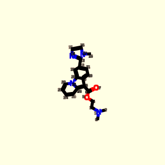 CN(C)CCOC(=O)c1c2ccc(-c3nccn3C)cc2n2ccccc12